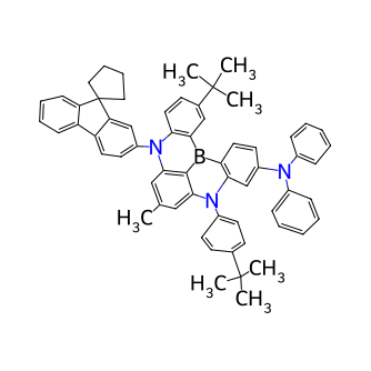 Cc1cc2c3c(c1)N(c1ccc(C(C)(C)C)cc1)c1cc(N(c4ccccc4)c4ccccc4)ccc1B3c1cc(C(C)(C)C)ccc1N2c1ccc2c(c1)C1(CCCC1)c1ccccc1-2